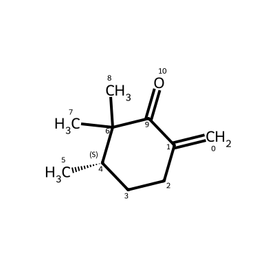 C=C1CC[C@H](C)C(C)(C)C1=O